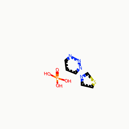 O=P(O)(O)O.c1cnnnc1.c1cscn1